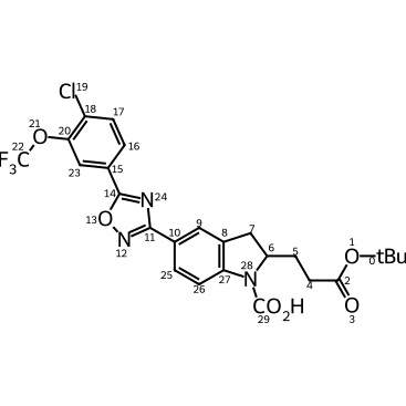 CC(C)(C)OC(=O)CCC1Cc2cc(-c3noc(-c4ccc(Cl)c(OC(F)(F)F)c4)n3)ccc2N1C(=O)O